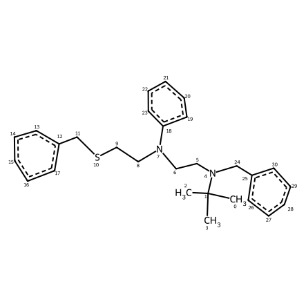 CC(C)(C)N(CCN(CCSCc1ccccc1)c1ccccc1)Cc1ccccc1